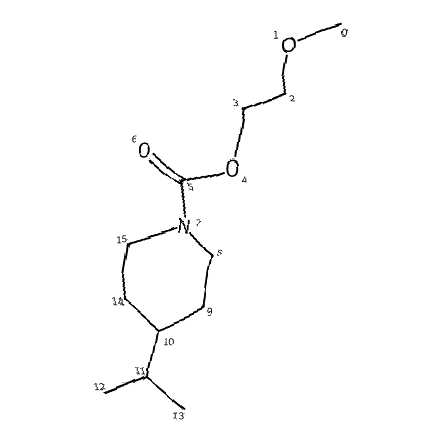 COCCOC(=O)N1CCC(C(C)C)CC1